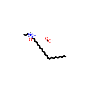 CCCCCCCC/C=C\CCCCCCCCCCCC(=O)N[N+](C)(C)CCC.O=C[O-]